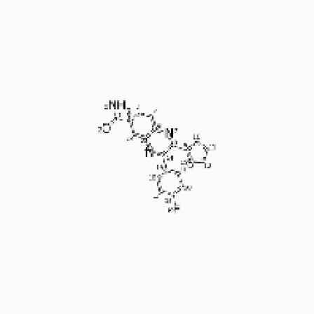 NC(=O)c1ccc2nc(-c3cccs3)c(-c3ccc(F)cc3)nc2c1